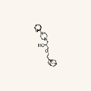 OC(COCCC12CC3CC(CC1C3)C2)CN1CCN(c2ccccn2)CC1